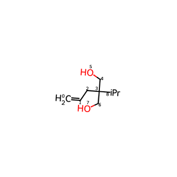 C=CCC(CO)(CO)C(C)C